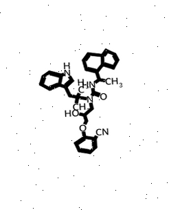 CC(NC(=O)N(CC(O)COc1ccccc1C#N)C(C)(C)Cc1c[nH]c2ccccc12)c1cccc2ccccc12